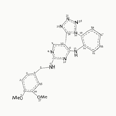 COc1ccc(CNc2ncc3c(n2)Nc2ccccc2-n2nnnc2-3)cc1OC